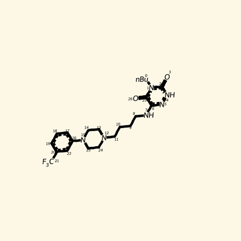 CCCCn1c(=O)[nH]nc(NCCCCN2CCN(c3cccc(C(F)(F)F)c3)CC2)c1=O